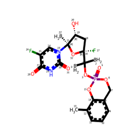 BC(B)(OP1(=O)OCc2cccc(C)c2O1)[C@]1(F)C[C@@H](O)[C@](B)(n2cc(F)c(=O)[nH]c2=O)O1